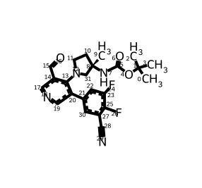 CC(C)(C)OC(=O)N[C@@]1(C)CCN(c2c(C=O)cncc2-c2cc(F)c(F)c(C#N)c2)C1